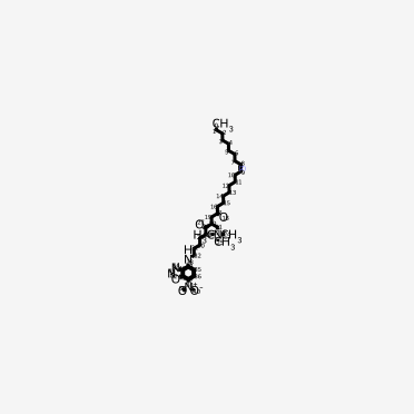 CCCCCCCC/C=C\CCCCCCCC(=O)CC(C[N+](C)(C)C)C(=O)CCCCCNc1ccc([N+](=O)[O-])c2onnc12